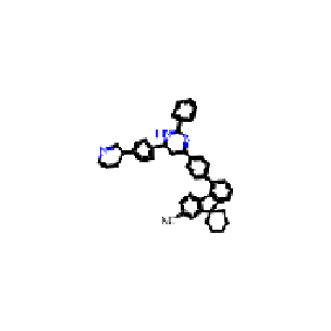 N#Cc1ccc2c(c1)C1(CCCCC1)c1cccc(-c3ccc(C4=NC(c5ccccc5)NC(c5ccc(C6C=NC=CC6)cc5)C4)cc3)c1-2